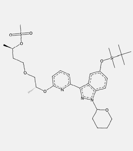 C[C@H](COCC[C@@H](C)OS(C)(=O)=O)Oc1cccc(-c2nn(C3CCCCO3)c3ccc(O[Si](C)(C)C(C)(C)C)cc23)n1